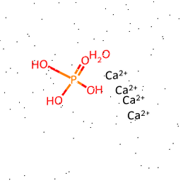 O.O=P(O)(O)O.[Ca+2].[Ca+2].[Ca+2].[Ca+2]